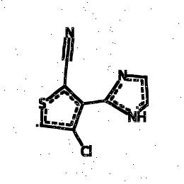 N#Cc1s[c]c(Cl)c1-c1ncc[nH]1